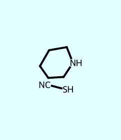 C1CCNCC1.N#CS